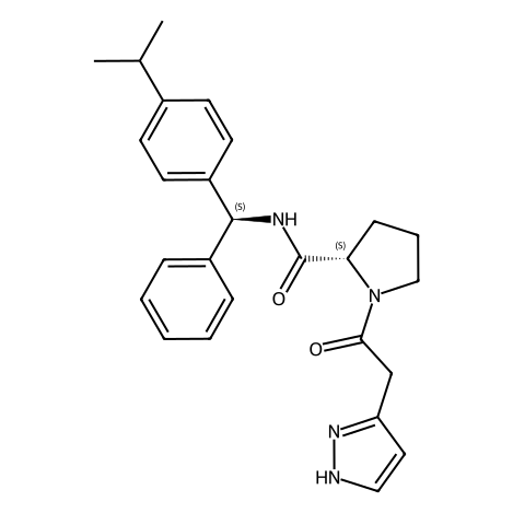 CC(C)c1ccc([C@@H](NC(=O)[C@@H]2CCCN2C(=O)Cc2cc[nH]n2)c2ccccc2)cc1